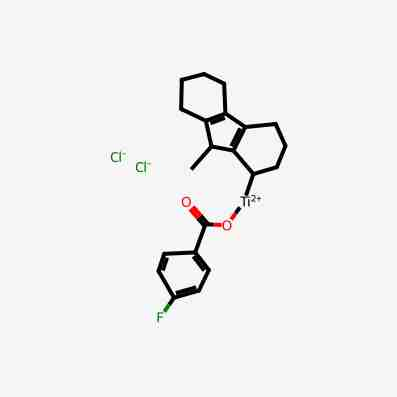 CC1C2=C(CCCC2)C2=C1[CH]([Ti+2][O]C(=O)c1ccc(F)cc1)CCC2.[Cl-].[Cl-]